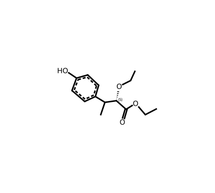 CCOC(=O)[C@@H](OCC)C(C)c1ccc(O)cc1